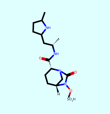 CC1CCC(C[C@H](C)NC(=O)[C@H]2CC[C@@H]3CN2C(=O)N3OS(=O)(=O)O)N1